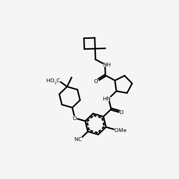 COc1cc(C#N)c(OC2CCC(C)(C(=O)O)CC2)cc1C(=O)NC1CCCC1C(=O)NCC1(C)CCC1